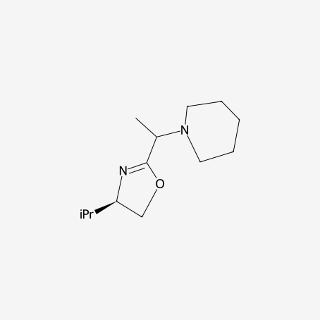 CC(C)[C@@H]1COC(C(C)N2CCCCC2)=N1